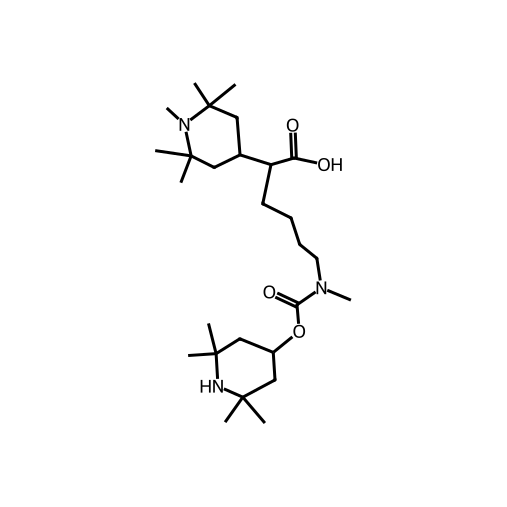 CN(CCCCC(C(=O)O)C1CC(C)(C)N(C)C(C)(C)C1)C(=O)OC1CC(C)(C)NC(C)(C)C1